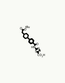 CC(C)(C)OC(=O)CC1CCC(c2ccc(C(=O)Nc3nnc(C(=O)O)s3)cc2)CC1